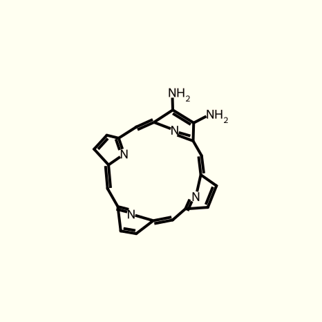 NC1=C(N)C2=NC1=CC1=NC(=CC3=NC(=CC4=NC(=C2)C=C4)C=C3)C=C1